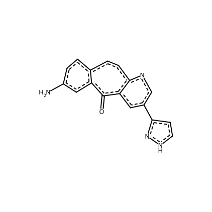 Nc1ccc2ccc3ncc(-c4cc[nH]n4)cc3c(=O)c2c1